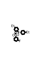 CCc1ccc([I+](OS(=O)(=O)c2cccc(F)c2)c2ccc(CC)cc2)cc1